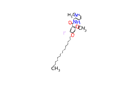 CCCCCCCCCCCCCCCCOc1ccc(C(=O)NCc2cccc[n+]2C)c(OC)c1.[I-]